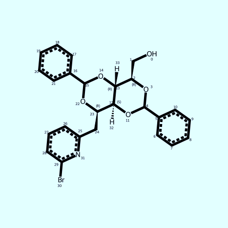 OC[C@H]1OC(c2ccccc2)O[C@@H]2[C@@H]1OC(c1ccccc1)O[C@@H]2Cc1cccc(Br)n1